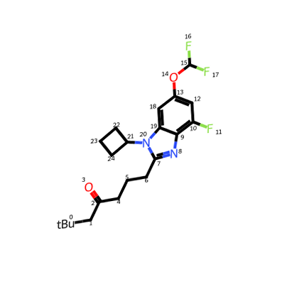 CC(C)(C)CC(=O)CCCc1nc2c(F)cc(OC(F)F)cc2n1C1CCC1